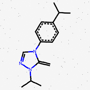 C=C1N(c2ccc(C(C)C)cc2)C=NN1C(C)C